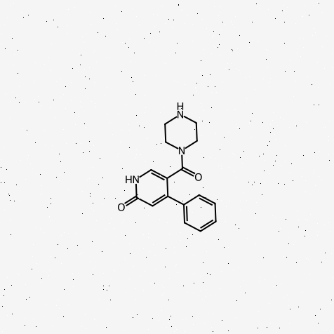 O=C(c1c[nH]c(=O)cc1-c1ccccc1)N1CCNCC1